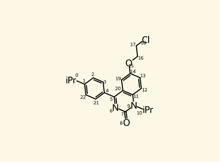 CC(C)c1ccc(-c2nc(=O)n(C(C)C)c3ccc(OCCCl)cc23)cc1